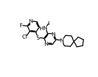 Fc1nccc(Sc2ncc(N3CCC4(CCCC4)CC3)nc2NI)c1Cl